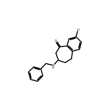 O=C1CC(NCc2ccccc2)CCc2ccc(Cl)cc21